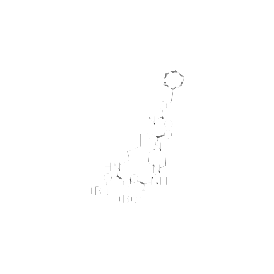 CC(C)(C)OC(=O)NCCCC[C@@H](NC(=O)OCc1ccccc1)C(=O)N1CCN(NC(=O)OC(C)(C)C)CC1